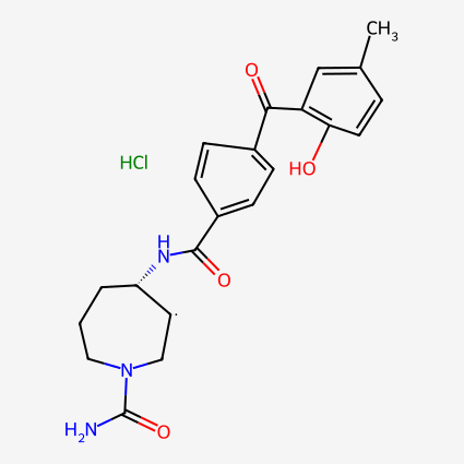 Cc1ccc(O)c(C(=O)c2ccc(C(=O)N[C@@H]3[CH]CN(C(N)=O)CCC3)cc2)c1.Cl